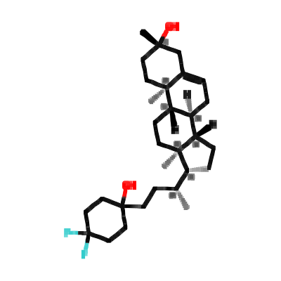 C[C@H](CCC1(O)CCC(F)(F)CC1)[C@H]1CC[C@H]2[C@@H]3CC=C4C[C@@](C)(O)CC[C@]4(C)[C@H]3CC[C@]12C